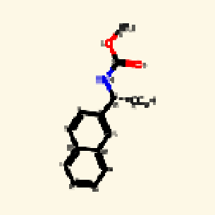 CC(C)(C)OC(=O)N[C@H](C(=O)O)c1ccc2ccccc2c1